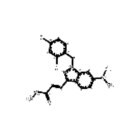 CN(C)c1ccc2c(/C=C/C(=O)NN)nn(Cc3ccc(Cl)cc3F)c2c1